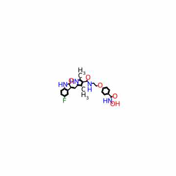 Cc1[nH]c(C=C2C(=O)Nc3ccc(F)cc32)c(C)c1C(=O)NCCOc1ccc(C(=O)NO)cc1